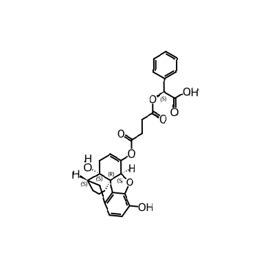 O=C(CCC(=O)O[C@H](C(=O)O)c1ccccc1)OC1=CC[C@]2(O)[C@H]3CCC[C@]24c2c(ccc(O)c2O[C@H]14)C3